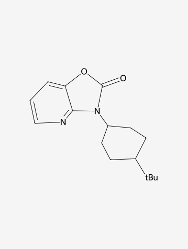 CC(C)(C)C1CCC(n2c(=O)oc3cccnc32)CC1